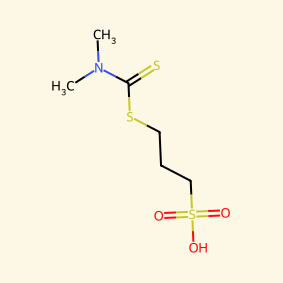 CN(C)C(=S)SCCCS(=O)(=O)O